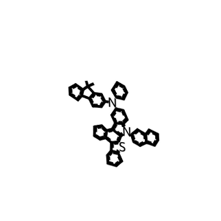 CC1(C)c2ccccc2-c2ccc(N(c3ccccc3)c3ccc4c(c3)c3c5ccccc5c5c6ccccc6sc5c3n4-c3ccc4ccccc4c3)cc21